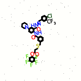 O=C(CCSCc1cccc(C(=O)Nc2ccc(N3CCCCC3)cc2C(=O)N/N=C/c2ccc(Cl)c(C(F)(F)F)c2)c1)Oc1c(F)c(F)c(F)c(F)c1F